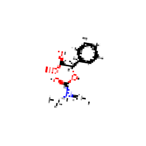 CN(C)C(=O)O[C@H](C(=O)O)c1ccccc1